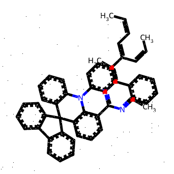 C\C=C/C=C(\C=C/C)C(/C)=C(/N=C(\N=C\C)c1cccc2c1N(c1ccccc1)c1ccccc1C21c2ccccc2-c2ccccc21)c1ccccc1